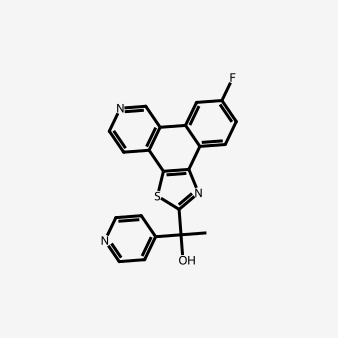 CC(O)(c1ccncc1)c1nc2c3ccc(F)cc3c3cnccc3c2s1